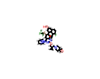 C#Cc1c(F)ccc2cc(O)cc(-c3c(SC(F)(F)F)cc4c(N5CC6CCC(C5)N6)nc(OCC5(CN6CCC7(CC6)COC7)CC5)nc4c3F)c12